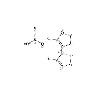 CC1=[O+]CCO1.CC1=[O+]CCO1.[O-]B([O-])F